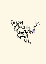 CC(C)CC/C=N\Nc1nc(N)c2ncn([C@@H]3O[C@H](CO)[C@@H](O)[C@H]3O)c2n1